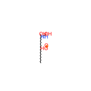 CCCCCCCCCCCCCCCCCCC(CO)NCCO.O=PO